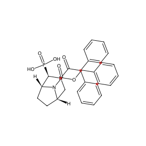 O=C(C(c1ccccc1)c1ccccc1)N1C[C@@H]2CC[C@H]([C@H]1P(=O)(O)O)N2C(=O)OCc1ccccc1